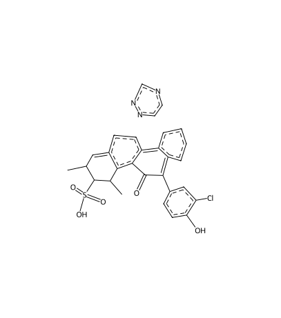 CC1C=c2ccc3c(c2C(C)C1S(=O)(=O)O)C(=O)C(c1ccc(O)c(Cl)c1)=c1ccccc1=3.c1cnncn1